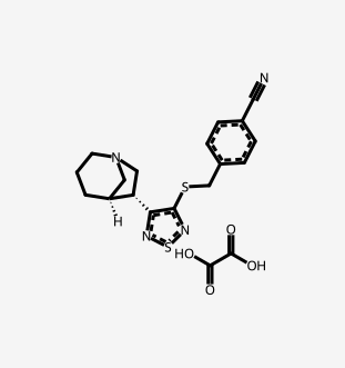 N#Cc1ccc(CSc2nsnc2[C@H]2CN3CCC[C@H]2C3)cc1.O=C(O)C(=O)O